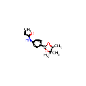 C=CC(=O)Nc1ccc(B2OC(C)C(C)(C)O2)cc1